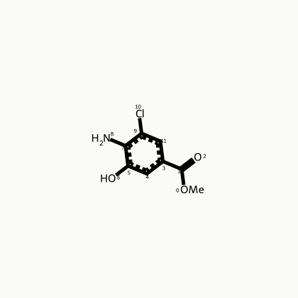 COC(=O)c1cc(O)c(N)c(Cl)c1